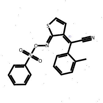 Cc1ccccc1/C(C#N)=C1/C=CSC1=NOS(=O)(=O)c1ccccc1